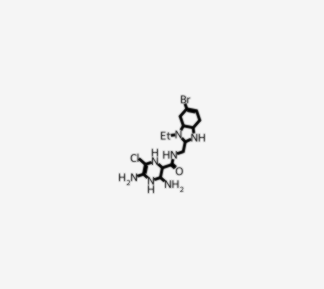 CCN1C(CNC(=O)C2NC(Cl)=C(N)NC2N)NC2CC=C(Br)CC21